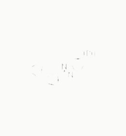 Cc1ccc(-c2ccccc2)cc1-c1n(C)c2ccc(C(C)(C)C)cc2[n+]1C